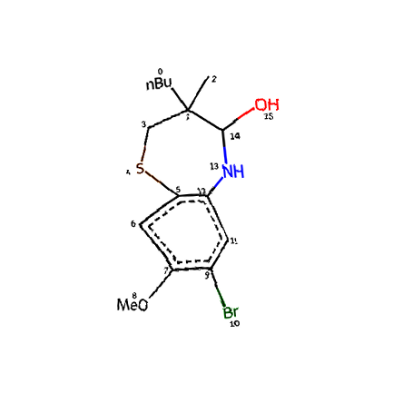 CCCCC1(C)CSc2cc(OC)c(Br)cc2NC1O